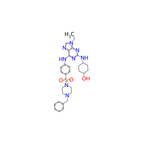 CCn1cnc2c(Nc3ccc(S(=O)(=O)N4CCN(Cc5ccccc5)CC4)cc3)nc(NC3CCC(O)CC3)nc21